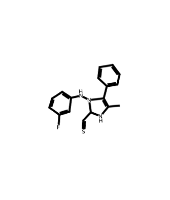 CC1=C(c2ccccc2)N(Nc2cccc(F)c2)C(C=S)N1